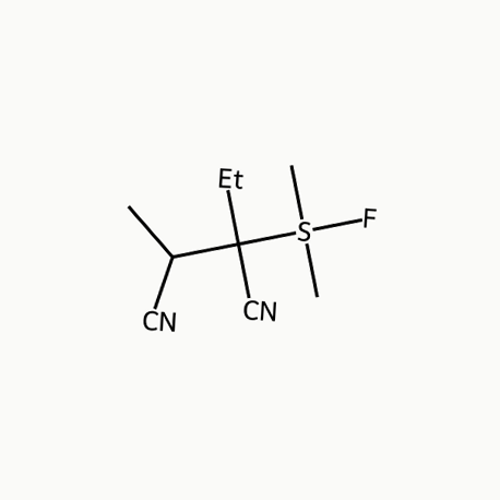 CCC(C#N)(C(C)C#N)S(C)(C)F